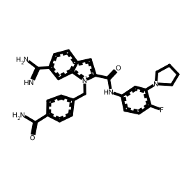 N=C(N)c1ccc2cc(C(=O)Nc3ccc(F)c(N4CCCC4)c3)n(Cc3ccc(C(N)=O)cc3)c2c1